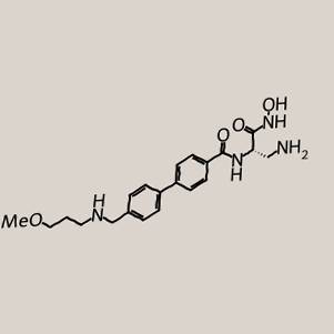 COCCCNCc1ccc(-c2ccc(C(=O)N[C@@H](CN)C(=O)NO)cc2)cc1